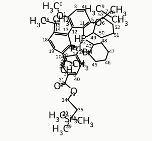 COc1ccc(OC(C)(C)C)c2c1-c1c(C(C)C)ccc(C(C)C)[c]1[Pd]([Br])([c]1ccc(C(=O)OCC[Si](C)(C)C)cc1)[PH]2(C1CCCCC1)C1CCCCC1